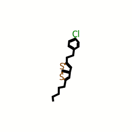 CCCCCc1cc2cc(CCc3ccc(Cl)cc3)sc2s1